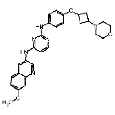 COc1ccc2cc(Nc3ccnc(Nc4ccc(OC5CC(N6CCOCC6)C5)cc4)n3)cnc2c1